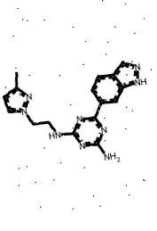 Cc1ccn(CCNc2nc(N)nc(-c3ccc4cn[nH]c4c3)n2)n1